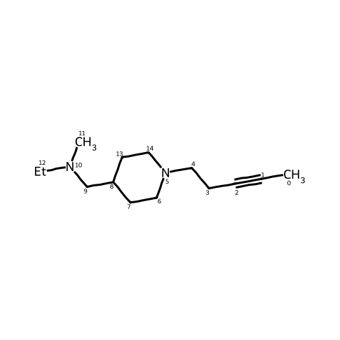 CC#CCCN1CCC(CN(C)CC)CC1